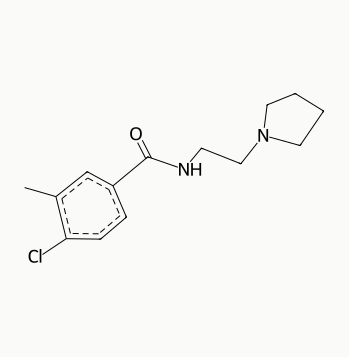 Cc1cc(C(=O)NCCN2CCCC2)ccc1Cl